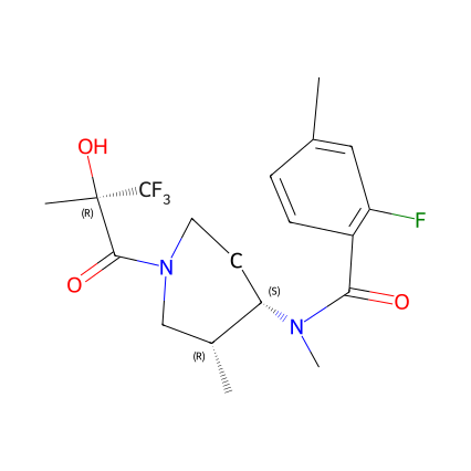 Cc1ccc(C(=O)N(C)[C@H]2CCN(C(=O)[C@@](C)(O)C(F)(F)F)C[C@H]2C)c(F)c1